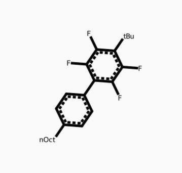 CCCCCCCCc1ccc(-c2c(F)c(F)c(C(C)(C)C)c(F)c2F)cc1